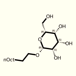 CCCCCCCCCCO[C@@H]1O[C@H](CO)[C@H](O)[C@H](O)[C@@H]1O